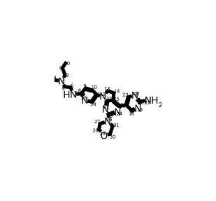 CCCN(C)CCNc1ccc(N2CCc3c(-c4cnc(N)nc4)nc(N4CCOCC4)nc32)cn1